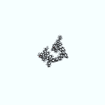 C[Si](C)(C)c1ccc(N(c2ccc([Si](C)(C)C)cc2)c2cc3c(c4ccccc24)c2c4ccccc4c(N(c4ccc([Si](C)(C)C)cc4)c4ccc([Si](C)(C)Cc5ccc(-c6ccc(N(c7ccccc7)c7cc8c(c9ccccc79)c7c9ccccc9c(N(c9ccccc9)c9ccc(-c%10ccccc%10)cc9)cc7n8-c7cccc8c7sc7ccccc78)cc6)cc5)cc4)cc2n3-c2cccc3c2sc2ccccc23)cc1